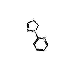 [C]1=NN(c2ccccn2)CS1